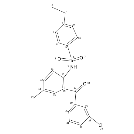 CCc1ccc(S(=O)(=O)Nc2ccc(C)cc2C(=O)c2cccc(Cl)c2)cc1